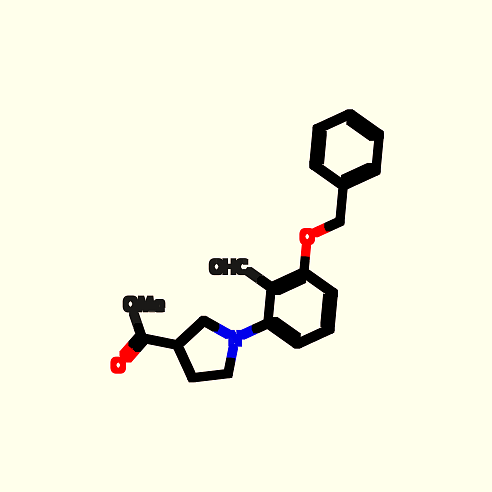 COC(=O)C1CCN(c2cccc(OCc3ccccc3)c2C=O)C1